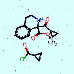 COC(=O)C1(C(=O)C2CC2)NCCc2ccccc21.O=C(Cl)C1CC1